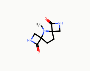 CN1C2(CCC13CNC3=O)CNC2=O